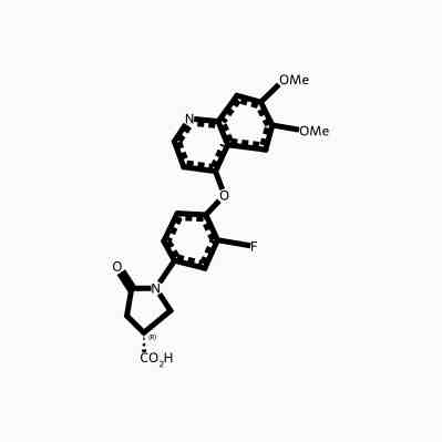 COc1cc2nccc(Oc3ccc(N4C[C@H](C(=O)O)CC4=O)cc3F)c2cc1OC